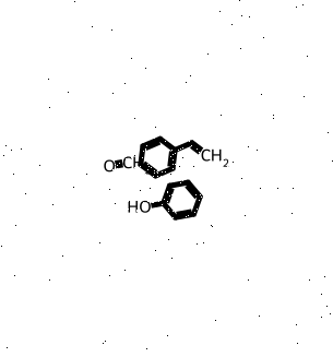 C=Cc1ccccc1.C=O.Oc1ccccc1